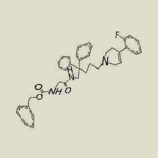 O=C(CNC(=O)OCc1ccccc1)NCC(CCCN1CC=C(c2ccccc2F)CC1)(c1ccccc1)c1ccccc1